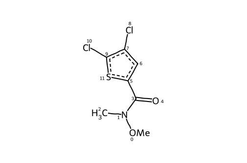 CON(C)C(=O)c1cc(Cl)c(Cl)s1